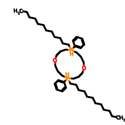 CCCCCCCCCCCC[PH]1(c2ccccc2)CCCOCCC[PH](CCCCCCCCCCCC)(c2ccccc2)CCCOCCC1